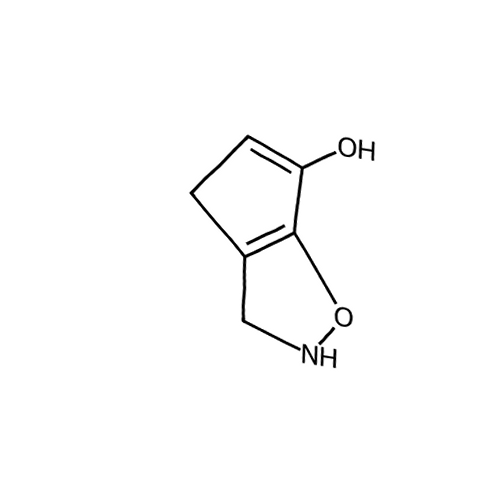 OC1=CCC2=C1ONC2